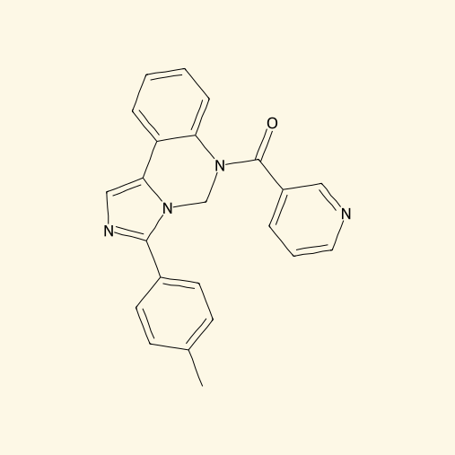 Cc1ccc(-c2ncc3n2CN(C(=O)c2cccnc2)c2ccccc2-3)cc1